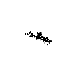 CC(=N)N1CCC(COc2ccc([C@H](Cc3cc4cc(C(=N)N)ccc4s3)C(=O)O)cc2)C1.Cl.Cl